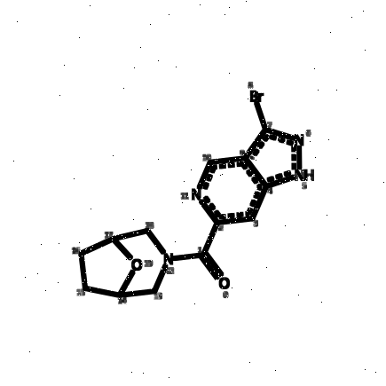 O=C(c1cc2[nH]nc(Br)c2cn1)N1CC2CCC(C1)O2